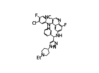 CCN1CCC(n2cc(C(Nc3cc(F)c4ncc(C#N)c(Nc5ccc(F)c(Cl)c5)c4c3)c3ccccc3)nn2)CC1